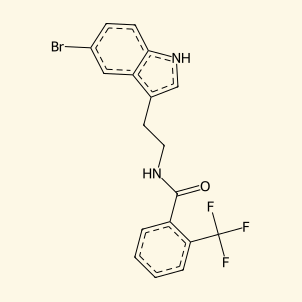 O=C(NCCc1c[nH]c2ccc(Br)cc12)c1ccccc1C(F)(F)F